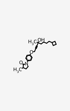 CC1CCN(c2ccc(OCC#CC(C)(O)CCCCC3CCC3)cc2)C1=O